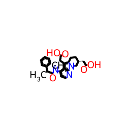 C[C@@H](C(=O)N(C)c1ccnc2c1c(CC(=O)O)c1n2C[C@@H](CC(=O)O)CC1)c1ccccc1